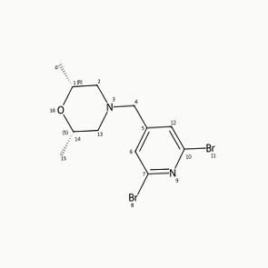 C[C@@H]1CN(Cc2cc(Br)nc(Br)c2)C[C@H](C)O1